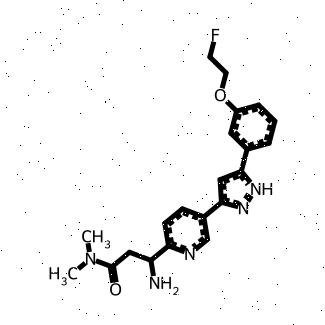 CN(C)C(=O)CC(N)c1ccc(-c2cc(-c3cccc(OCCF)c3)[nH]n2)cn1